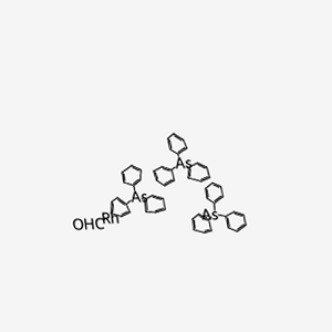 O=[CH][Rh].c1ccc([As](c2ccccc2)c2ccccc2)cc1.c1ccc([As](c2ccccc2)c2ccccc2)cc1.c1ccc([As](c2ccccc2)c2ccccc2)cc1